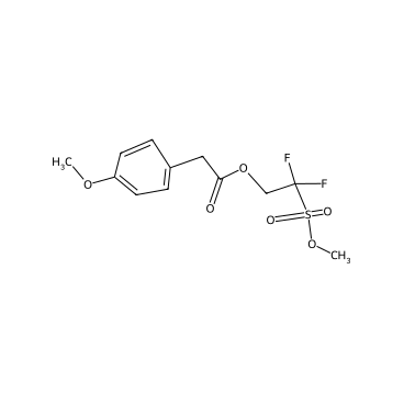 COc1ccc(CC(=O)OCC(F)(F)S(=O)(=O)OC)cc1